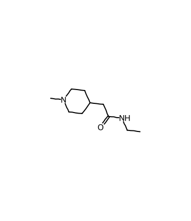 CCNC(=O)CC1CCN(C)CC1